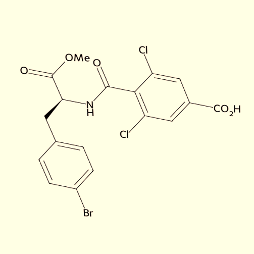 COC(=O)[C@H](Cc1ccc(Br)cc1)NC(=O)c1c(Cl)cc(C(=O)O)cc1Cl